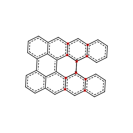 c1ccc(P(c2ccccc2)c2ccc3cccc4c5cccc6ccc(P(c7ccccc7)c7ccccc7)c(c2c34)c65)cc1